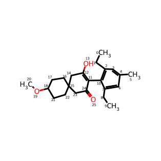 CCc1cc(C)cc(CC)c1C1=C(O)CC2(CCC(OC)CC2)CC1=O